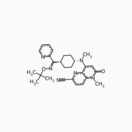 Cn1c(=O)cc(N(C)[C@H]2CC[C@H](C(=NOC(C)(C)C)c3ccccn3)CC2)c2nc(C#N)ccc21